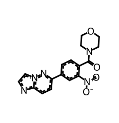 O=C(c1ccc(-c2ccc3nccn3n2)cc1[N+](=O)[O-])N1CCOCC1